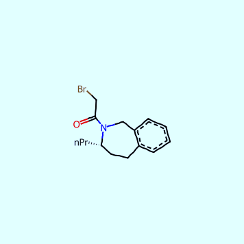 CCC[C@H]1CCc2ccccc2CN1C(=O)CBr